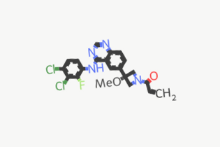 C=CC(=O)N1CC(OC)(c2ccc3ncnc(Nc4ccc(Cl)c(Cl)c4F)c3c2)C1